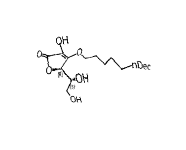 CCCCCCCCCCCCCCCOC1=C(O)C(=O)O[C@@H]1[C@@H](O)CO